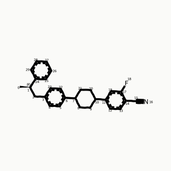 C[C@H](Cc1ccc(C2CCC(c3ccc(C#N)c(F)c3)CC2)cc1)c1ccccc1